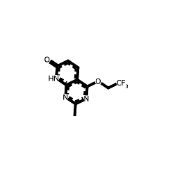 Cc1nc(OCC(F)(F)F)c2ccc(=O)[nH]c2n1